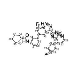 O=C(Nc1cncc(-c2cc(F)c3[nH]nc(-c4nc5c(-c6ccc(F)cc6)ccnc5[nH]4)c3c2)c1)C1CCCCC1